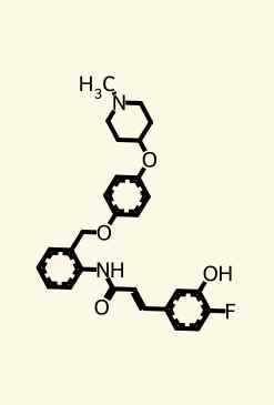 CN1CCC(Oc2ccc(OCc3ccccc3NC(=O)/C=C/c3ccc(F)c(O)c3)cc2)CC1